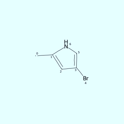 [CH2]c1cc(Br)c[nH]1